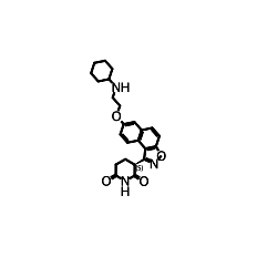 O=C1CC[C@@H](c2noc3ccc4cc(OCCNC5CCCCC5)ccc4c23)C(=O)N1